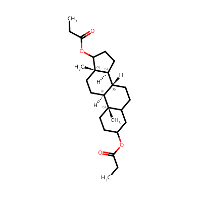 CCC(=O)OC1CC[C@@]2(C)C(CC[C@@H]3[C@@H]2CC[C@]2(C)C(OC(=O)CC)CC[C@@H]32)C1